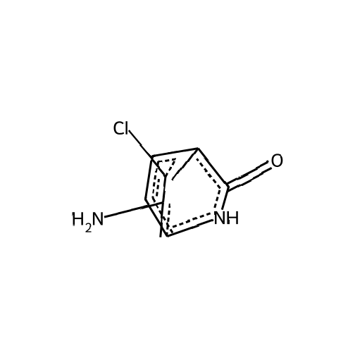 Nc1c(Cl)c2ccc1[nH]c2=O